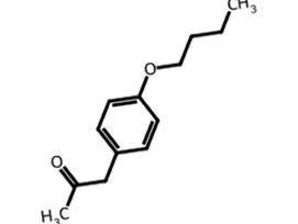 CCCCOc1ccc(CC(C)=O)cc1